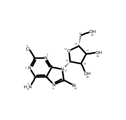 Nc1nc(Cl)nc2c1nc(Br)n2[C@@H]1O[C@H](CO)C(O)C1O